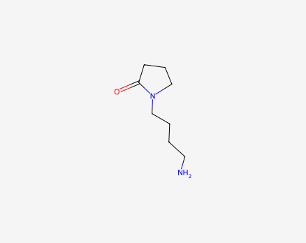 NCCCCN1CCCC1=O